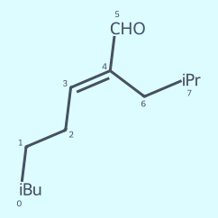 CCC(C)CCC=C(C=O)CC(C)C